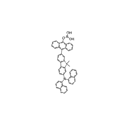 CC1(C)c2cc(-c3c4ccccc4c(OB(O)O)c4ccccc34)ccc2-c2ccc(N(c3cccc4ccccc34)c3cccc4ccccc34)cc21